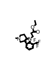 CCOC(=O)CCn1c2c(c3cccc(C(F)(F)F)c31)CN(C)CC2